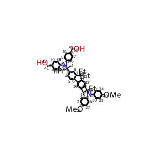 CCCC(C)(c1ccc2c(c1)C(CC)(CC)c1cc3c(cc1-2)CC3(CC)N(c1ccc(OC)cc1)c1ccc(OC)cc1)N(c1ccc(CO)cc1)c1ccc(CO)cc1